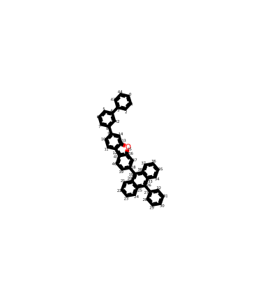 c1ccc(-c2cccc(-c3ccc4c(c3)oc3cc(-c5c6ccccc6c(-c6ccccc6)c6ccccc56)ccc34)c2)cc1